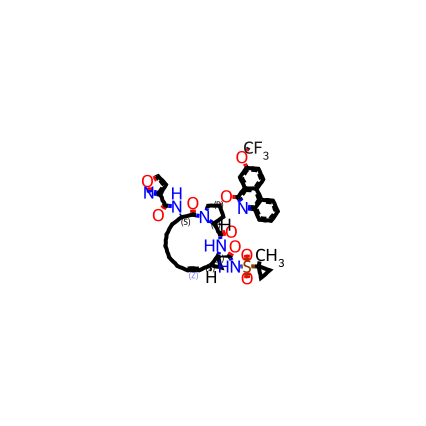 CC1(S(=O)(=O)NC(=O)[C@@]23C[C@H]2/C=C\CCCCC[C@H](NC(=O)c2ccon2)C(=O)N2C[C@H](Oc4nc5ccccc5c5ccc(OC(F)(F)F)cc45)C[C@H]2C(=O)N3)CC1